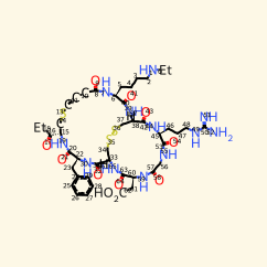 CCNCCCC[C@@H]1NC(=O)CCCSC[C@@H](C(=O)CC)NC(=O)[C@H](Cc2ccccc2)NC(=O)[C@@H]2CSSC[C@H](NC1=O)C(=O)N[C@@H](CCCNC(=N)N)C(=O)NCC(=O)N[C@@H](CC(=O)O)C(=O)N2